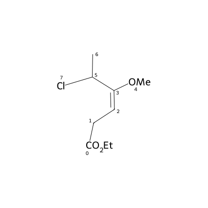 CCOC(=O)CC=C(OC)C(C)Cl